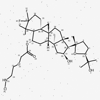 CC(C)(O)[C@@H]1CC[C@@](C)([C@H]2[C@@H](O)C[C@@]3(C)[C@@H]4C[C@H](OC(=O)COCCNCl)C5C(C)(C)C(F)(F)CC[C@@]56C[C@@]46CC[C@]23C)O1